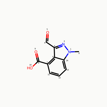 Cn1nc(C=O)c2c(C(=O)O)cccc21